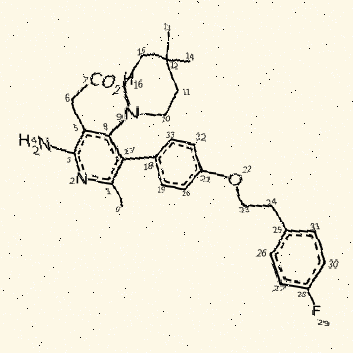 Cc1nc(N)c(CC(=O)O)c(N2CCC(C)(C)CC2)c1-c1ccc(OCCc2ccc(F)cc2)cc1